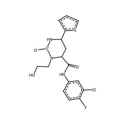 O=C(Nc1ccc(F)c(Cl)c1)C1CC(c2cccs2)N[S+]([O-])N1CCO